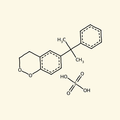 CC(C)(c1ccccc1)c1ccc2c(c1)CCOO2.O=S(=O)(O)O